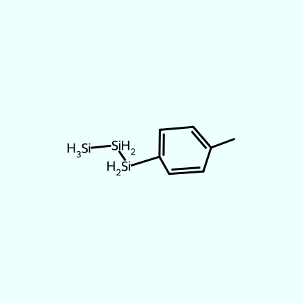 Cc1ccc([SiH2][SiH2][SiH3])cc1